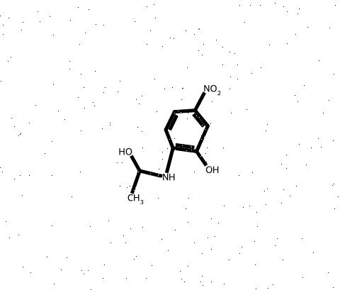 CC(O)Nc1ccc([N+](=O)[O-])cc1O